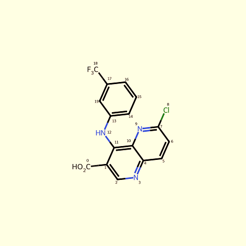 O=C(O)c1cnc2ccc(Cl)nc2c1Nc1cccc(C(F)(F)F)c1